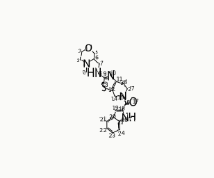 CN1CCOCC1CNc1nc2c(s1)CN(C(=O)c1cc3ccccc3[nH]1)CC2